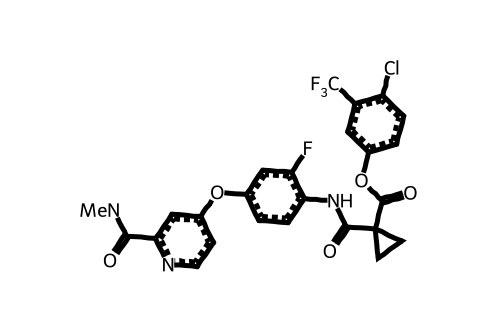 CNC(=O)c1cc(Oc2ccc(NC(=O)C3(C(=O)Oc4ccc(Cl)c(C(F)(F)F)c4)CC3)c(F)c2)ccn1